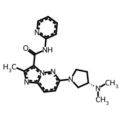 Cc1nc2ccc(N3CC[C@H](N(C)C)C3)nn2c1C(=O)Nc1ccccn1